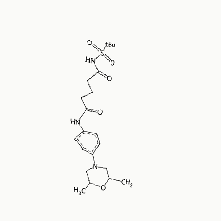 CC1CN(c2ccc(NC(=O)CCCC(=O)NS(=O)(=O)C(C)(C)C)cc2)CC(C)O1